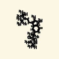 [2H]c1c(CCN(C([2H])([2H])[2H])C([2H])([2H])[2H])c2cc(C([2H])([2H])S(=O)(=O)N([2H])C([2H])([2H])[2H])ccc2n1[2H]